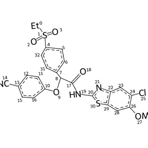 CCS(=O)(=O)c1ccc(C(Oc2ccc(C#N)cc2)C(=O)Nc2nc3cc(Cl)c(OC)cc3s2)cc1